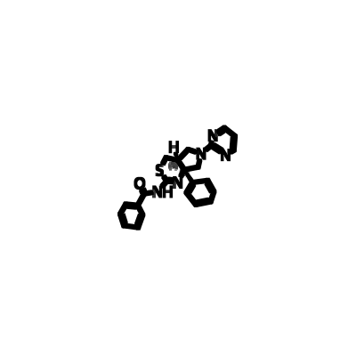 O=C(NC1=N[C@@]2(c3ccccc3)CN(c3ncccn3)C[C@H]2CS1)c1ccccc1